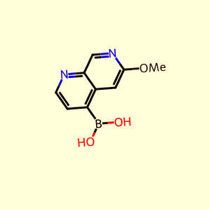 COc1cc2c(B(O)O)ccnc2cn1